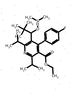 CCOC(=O)c1c(C(C)C)nc(C(C)C)c(C(O[SiH](C)C)C(C)(C)C)c1-c1ccc(F)cc1